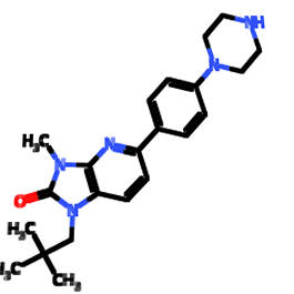 Cn1c(=O)n(CC(C)(C)C)c2ccc(-c3ccc(N4CCNCC4)cc3)nc21